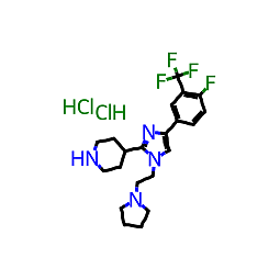 Cl.Cl.Fc1ccc(-c2cn(CCN3CCCC3)c(C3CCNCC3)n2)cc1C(F)(F)F